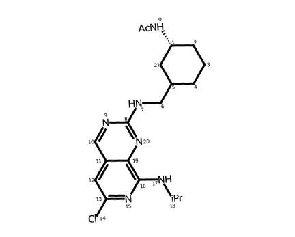 CC(=O)N[C@@H]1CCCC(CNc2ncc3cc(Cl)nc(NC(C)C)c3n2)C1